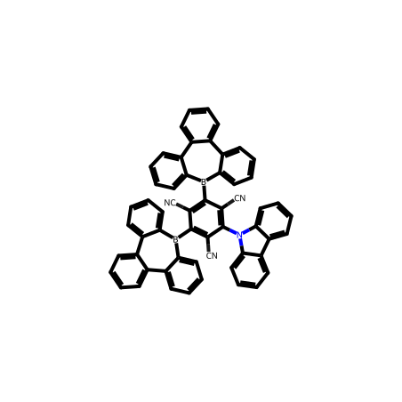 N#Cc1c(B2c3ccccc3-c3ccccc3-c3ccccc32)c(C#N)c(-n2c3ccccc3c3ccccc32)c(C#N)c1B1c2ccccc2-c2ccccc2-c2ccccc21